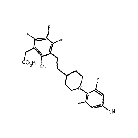 N#Cc1cc(F)c(N2CCC(CCc3c(F)c(F)c(F)c(CC(=O)O)c3C#N)CC2)c(F)c1